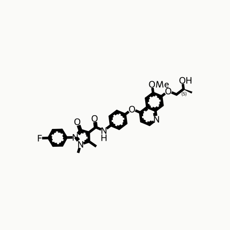 COc1cc2c(Oc3ccc(NC(=O)c4c(C)n(C)n(-c5ccc(F)cc5)c4=O)cc3)ccnc2cc1OC[C@H](C)O